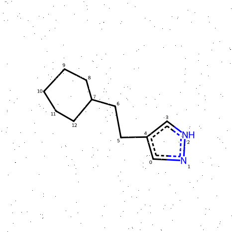 c1n[nH]cc1CCC1CCCCC1